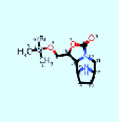 CC(C)(C)[Si](C)(C)OCC1OC(=O)N2CC3CCC(N3)C12